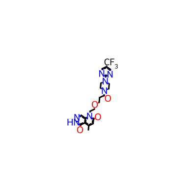 Cc1cc(=O)n(CCOCCC(=O)N2CCN(c3ncc(C(F)(F)F)cn3)CC2)c2cn[nH]c(=O)c12